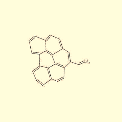 C=Cc1cc2ccc3cccc4c5cccc6ccc1c(c65)c2c34